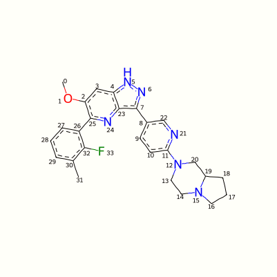 COc1cc2[nH]nc(-c3ccc(N4CCN5CCCC5C4)nc3)c2nc1-c1cccc(C)c1F